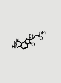 CCCC(=O)CCC1(CC)Cc2c(ccc3[nH]nnc23)C1=O